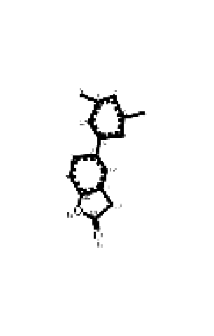 Cc1cc(C)cc(-c2ccc3c(c2)CC(=O)O3)c1